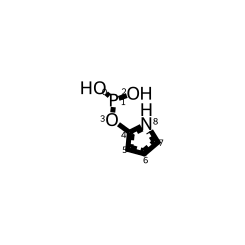 OP(O)Oc1ccc[nH]1